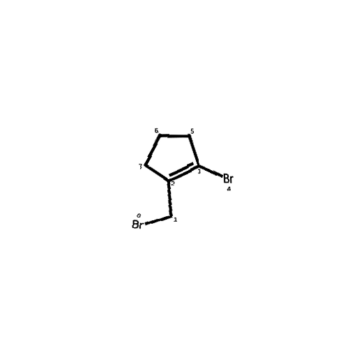 BrCC1=C(Br)CCC1